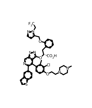 Cc1c(-c2c(-c3ccc4sccc4c3)ncc3snc(O[C@H](Cc4ccccc4OCc4ccnn4CC(F)(F)F)C(=O)O)c23)ccc(OCCN2CCN(C)CC2)c1Cl